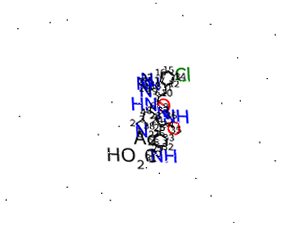 CC(=O)N1CC(CC(NC(=O)C=Cc2cc(Cl)ccc2-n2cnnn2)c2cc(-c3ccc(NC(=O)O)cc3)c(=O)[nH]n2)C1